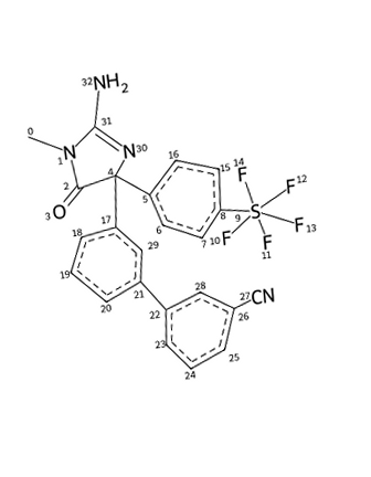 CN1C(=O)C(c2ccc(S(F)(F)(F)(F)F)cc2)(c2cccc(-c3cccc(C#N)c3)c2)N=C1N